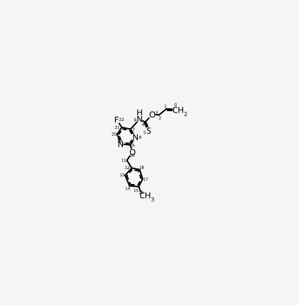 C=CCOC(=S)Nc1nc(OCc2ccc(C)cc2)ncc1F